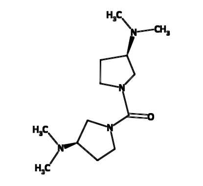 CN(C)[C@@H]1CCN(C(=O)N2CC[C@@H](N(C)C)C2)C1